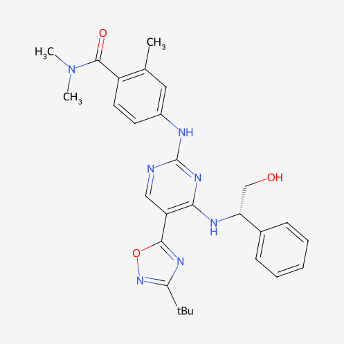 Cc1cc(Nc2ncc(-c3nc(C(C)(C)C)no3)c(N[C@H](CO)c3ccccc3)n2)ccc1C(=O)N(C)C